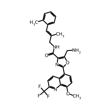 COc1ccc(-c2nc(C(=O)NC/C(C)=C/c3ccccc3C)c(CN)o2)c2ccc(C(F)(F)F)nc12